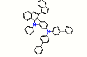 c1ccc(-c2ccc(N(c3ccc(-c4ccccc4)cc3)c3ccc4c5c(-c6cccc7ccccc67)cc6ccccc6c5n(-c5ccccc5)c4c3)cc2)cc1